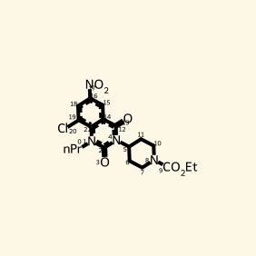 CCCn1c(=O)n(C2CCN(C(=O)OCC)CC2)c(=O)c2cc([N+](=O)[O-])cc(Cl)c21